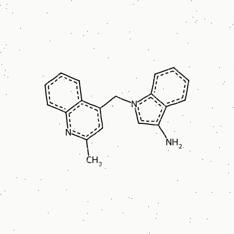 Cc1cc(Cn2cc(N)c3ccccc32)c2ccccc2n1